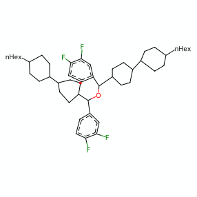 CCCCCCC1CCC(C2CCC(C(OC(c3ccc(F)c(F)c3)C3CCC(C4CCC(CCCCCC)CC4)CC3)c3ccc(F)c(F)c3)CC2)CC1